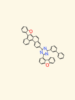 c1ccc(-c2cccc(-c3nc(-c4ccc5c(ccc6c7oc8ccccc8c7c7ccccc7c56)c4)nc(-c4cccc5oc6ccccc6c45)n3)c2)cc1